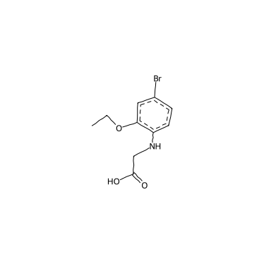 CCOc1cc(Br)ccc1NCC(=O)O